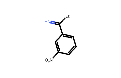 CCC(=N)c1cccc([N+](=O)[O-])c1